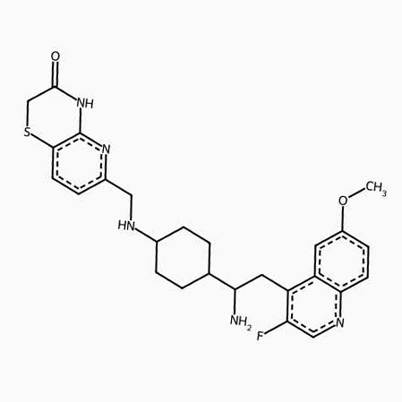 COc1ccc2ncc(F)c(CC(N)C3CCC(NCc4ccc5c(n4)NC(=O)CS5)CC3)c2c1